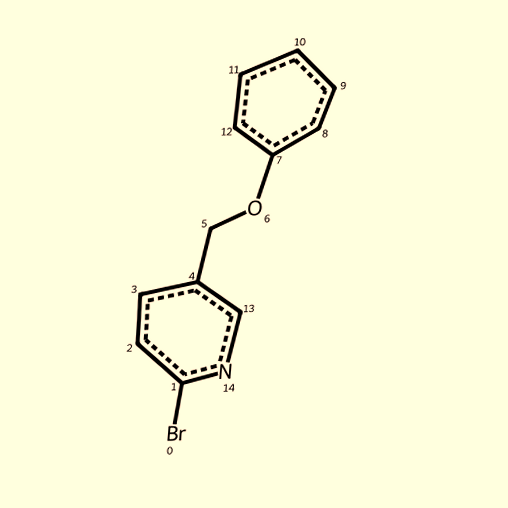 Brc1ccc(COc2ccccc2)cn1